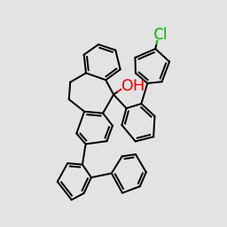 OC1(c2ccccc2-c2ccc(Cl)cc2)c2ccccc2CCc2cc(-c3ccccc3-c3ccccc3)ccc21